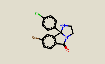 O=C1c2ccc(Br)cc2C2(c3ccc(Cl)cc3)NCCN12